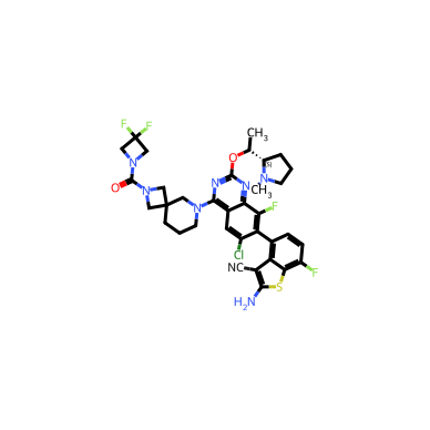 CC(Oc1nc(N2CCCC3(CN(C(=O)N4CC(F)(F)C4)C3)C2)c2cc(Cl)c(-c3ccc(F)c4sc(N)c(C#N)c34)c(F)c2n1)[C@@H]1CCCN1C